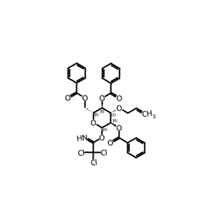 C=CCO[C@@H]1[C@@H](OC(=O)c2ccccc2)[C@@H](OC(=N)C(Cl)(Cl)Cl)O[C@H](COC(=O)c2ccccc2)[C@H]1OC(=O)c1ccccc1